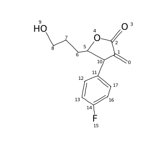 C=C1C(=O)OC(CCCO)C1c1ccc(F)cc1